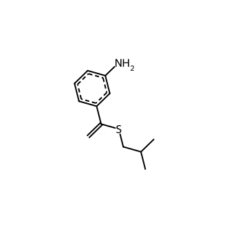 C=C(SCC(C)C)c1cccc(N)c1